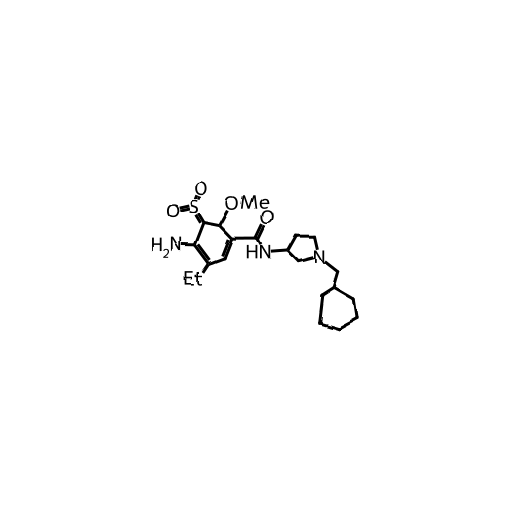 CCC1=C(N)C(=S(=O)=O)C(OC)C(C(=O)NC2CCN(CC3CCCCC3)C2)=C1